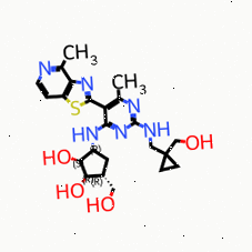 Cc1nc(NCC2(CO)CC2)nc(N[C@@H]2C[C@H](CO)[C@@H](O)[C@H]2O)c1-c1nc2c(C)nccc2s1